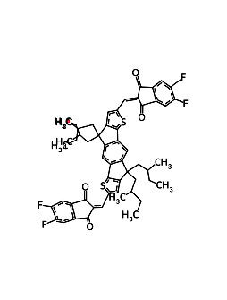 CCC(C)CC1(CC(C)CC)c2cc3c(cc2-c2sc(C=C4C(=O)c5cc(F)c(F)cc5C4=O)cc21)C(CC(C)CC)(CC(C)CC)c1cc(C=C2C(=O)c4cc(F)c(F)cc4C2=O)sc1-3